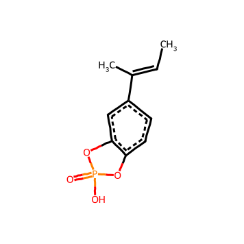 C/C=C(\C)c1ccc2c(c1)OP(=O)(O)O2